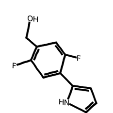 OCc1cc(F)c(-c2ccc[nH]2)cc1F